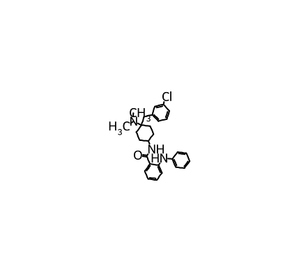 CN(C)C1(Cc2cccc(Cl)c2)CCC(NC(=O)c2ccccc2Nc2ccccc2)CC1